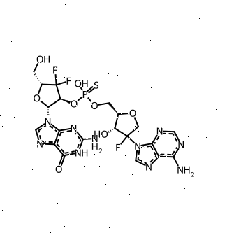 Nc1nc2c(ncn2[C@@H]2O[C@H](CO)C(F)(F)[C@H]2OP(O)(=S)OC[C@H]2OCC(F)(n3cnc4c(N)ncnc43)[C@@H]2O)c(=O)[nH]1